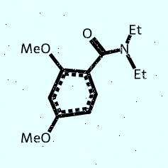 CCN(CC)C(=O)c1ccc(OC)cc1OC